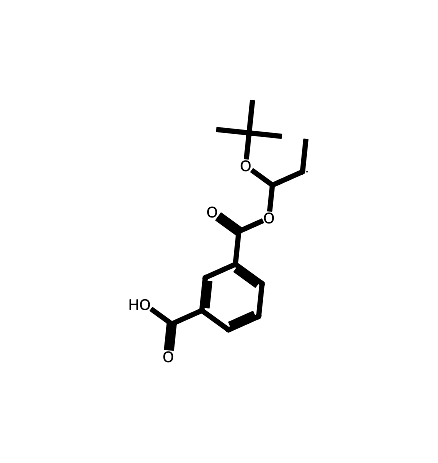 C[CH]C(OC(=O)c1cccc(C(=O)O)c1)OC(C)(C)C